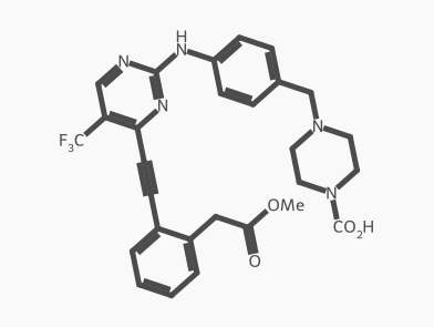 COC(=O)Cc1ccccc1C#Cc1nc(Nc2ccc(CN3CCN(C(=O)O)CC3)cc2)ncc1C(F)(F)F